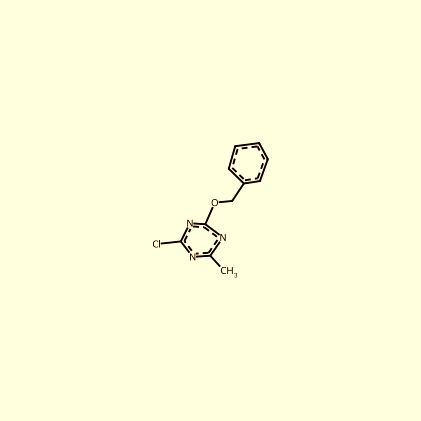 Cc1nc(Cl)nc(OCc2ccccc2)n1